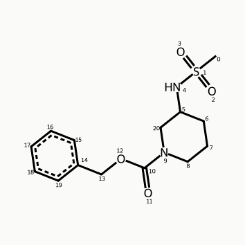 CS(=O)(=O)NC1CCCN(C(=O)OCc2ccccc2)C1